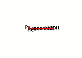 CC(C)CCCC(C)CCCC1CCCC(C(OCCOCCOCCOCCOCCOCCOCCOCCOCCOCCOCCOCCOCCOCCO)C(C)O)C1